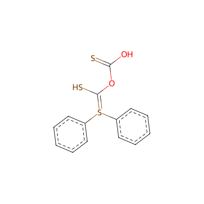 OC(=S)OC(S)=S(c1ccccc1)c1ccccc1